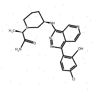 C[C@H](C(N)=O)N1CCC[C@@H](Nc2nnc(-c3ccc(Cl)cc3O)c3ccncc23)C1